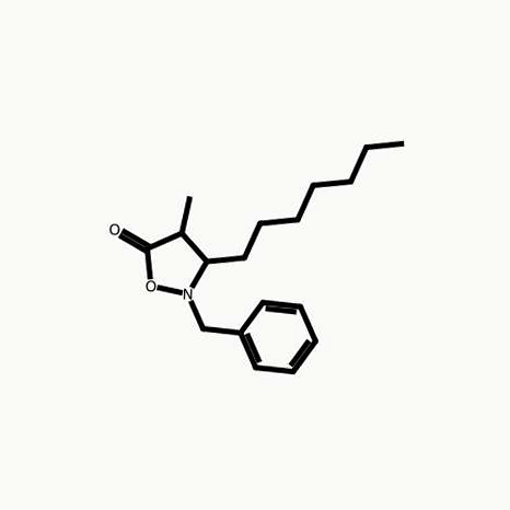 CCCCCCCC1C(C)C(=O)ON1Cc1ccccc1